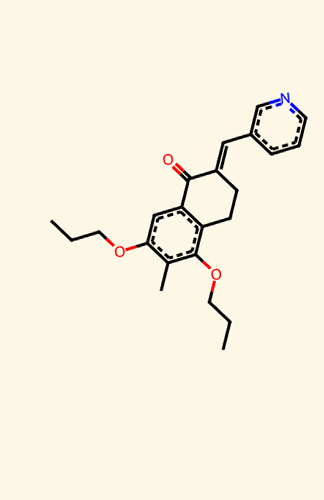 CCCOc1cc2c(c(OCCC)c1C)CCC(=Cc1cccnc1)C2=O